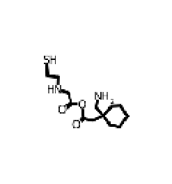 NCC1(CC(=O)OC(=O)CNCCS)CCCCC1